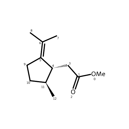 COC(=O)C[C@H]1C(=C(C)C)CC[C@@H]1C